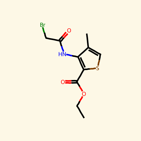 CCOC(=O)c1scc(C)c1NC(=O)CBr